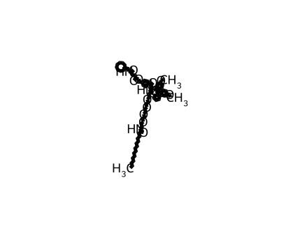 CCCCCCCCCCCCCCCC(=O)NCCOCCOCCOCCOCCC(=O)N[C@@H](COC(c1ccccc1)(c1ccc(OC)cc1)c1ccc(OC)cc1)C(=O)N1CCC(COC(=O)CCC(=O)NCC2CCCCCCCC2)CC1